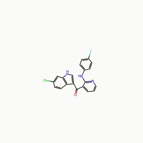 O=C(c1cccnc1Nc1ccc(F)cc1)c1c[nH]c2cc(Cl)ccc12